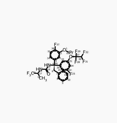 CC(C)Oc1cc([C@@](Cc2ccccc2)(NC(=O)NC(C)C(F)(F)F)c2cc(F)cc(OC(F)(F)C(F)F)c2)ccc1F